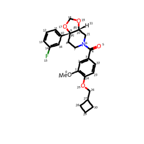 COc1cc(C(=O)N2CC[C@]3(c4cccc(F)c4)OCO[C@@H]3C2)ccc1OCC1CCC1